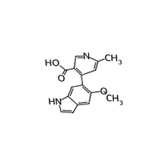 COc1cc2cc[nH]c2cc1-c1cc(C)ncc1C(=O)O